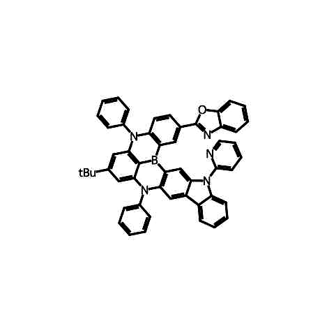 CC(C)(C)c1cc2c3c(c1)N(c1ccccc1)c1cc4c5ccccc5n(-c5ccccn5)c4cc1B3c1cc(-c3nc4ccccc4o3)ccc1N2c1ccccc1